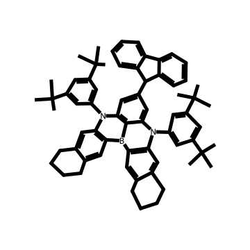 CC(C)(C)c1cc(N2c3cc4c(cc3B3c5cc6c(cc5N(c5cc(C(C)(C)C)cc(C(C)(C)C)c5)c5cc(C7c8ccccc8-c8ccccc87)cc2c53)CCCC6)CCCC4)cc(C(C)(C)C)c1